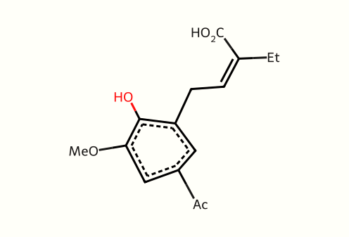 CCC(=CCc1cc(C(C)=O)cc(OC)c1O)C(=O)O